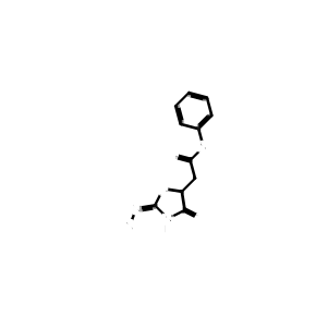 Cl.N/N=C1\NC(=O)C(CC(=O)Nc2ccccc2)S1